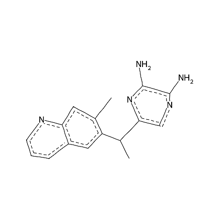 Cc1cc2ncccc2cc1C(C)c1cnc(N)c(N)n1